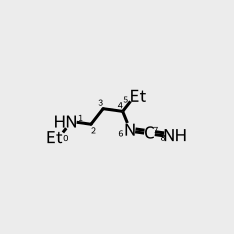 CCNCCC(CC)N=C=N